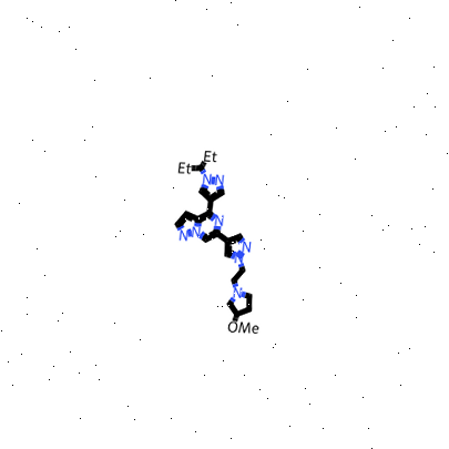 CCC(CC)n1cc(-c2nc(-c3cnn(CCN4CCC(OC)C4)c3)cn3nccc23)cn1